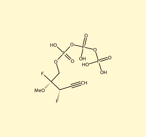 C#C[C@H](F)[C@@](F)(COP(=O)(O)OP(=O)(O)OP(=O)(O)O)OC